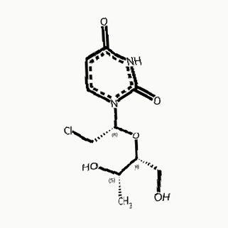 C[C@H](O)[C@@H](CO)O[C@H](CCl)n1ccc(=O)[nH]c1=O